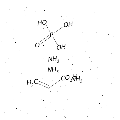 C=CC(=O)O.N.N.N.O=P(O)(O)O